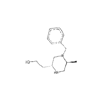 C[C@H]1CN[C@H](CCO)CN1Cc1ccccc1